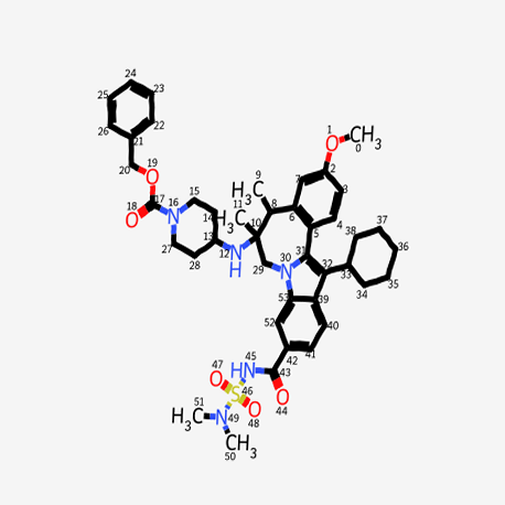 COc1ccc2c(c1)C(C)C(C)(NC1CCN(C(=O)OCc3ccccc3)CC1)Cn1c-2c(C2CCCCC2)c2ccc(C(=O)NS(=O)(=O)N(C)C)cc21